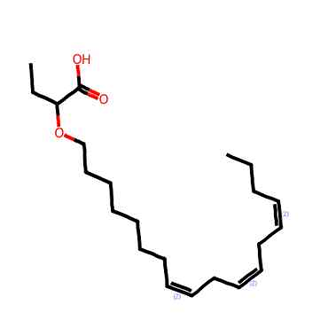 CCC/C=C\C/C=C\C/C=C\CCCCCCCOC(CC)C(=O)O